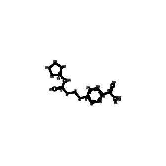 O=C(CCCc1ccc(C(=O)O)cc1)ON1CCCC1